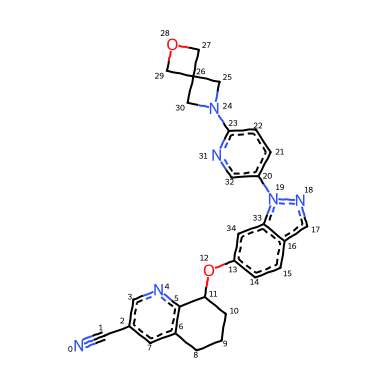 N#Cc1cnc2c(c1)CCCC2Oc1ccc2cnn(-c3ccc(N4CC5(COC5)C4)nc3)c2c1